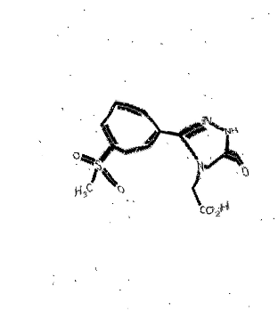 CS(=O)(=O)c1cccc(-c2n[nH]c(=O)n2CC(=O)O)c1